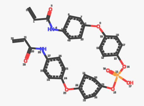 C=CC(=O)Nc1ccc(Oc2ccc(OP(=O)(O)Oc3ccc(Oc4ccc(NC(=O)C=C)cc4)cc3)cc2)cc1